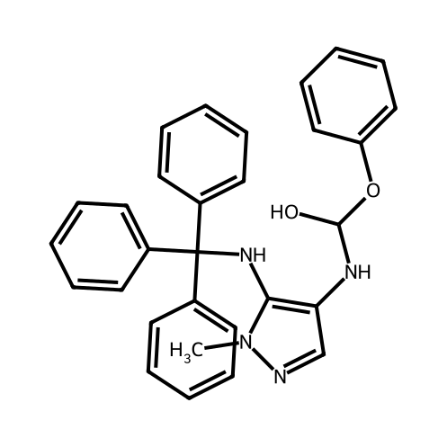 Cn1ncc(NC(O)Oc2ccccc2)c1NC(c1ccccc1)(c1ccccc1)c1ccccc1